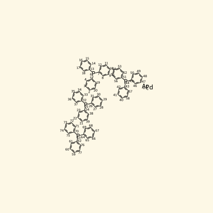 [Ar].[Pd].c1ccc(P(c2ccccc2)c2ccccc2)cc1.c1ccc(P(c2ccccc2)c2ccccc2)cc1.c1ccc(P(c2ccccc2)c2ccccc2)cc1.c1ccc(P(c2ccccc2)c2ccccc2)cc1